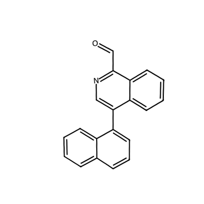 O=Cc1ncc(-c2cccc3ccccc23)c2ccccc12